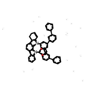 C1=Cc2c(c3ccc4c5ccccc5n(-c5ccccc5)c4c3n2-c2cc(-c3cccc(-c4ccccc4)c3)cc(-c3cccc(-c4ccccc4)c3)c2)CC1